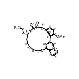 CCN1C(=O)N[C@@H](CCC(F)(F)F)CCSCCOc2nc(cn3ncnc23)-c2cc(ncc2OC)[C@H]1C